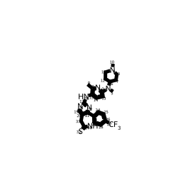 Cc1nc(N(C)C2CCN(C)CC2)ccc1Nc1ncc2c(n1)-c1ccc(C(F)(F)F)cc1NC(=S)C2